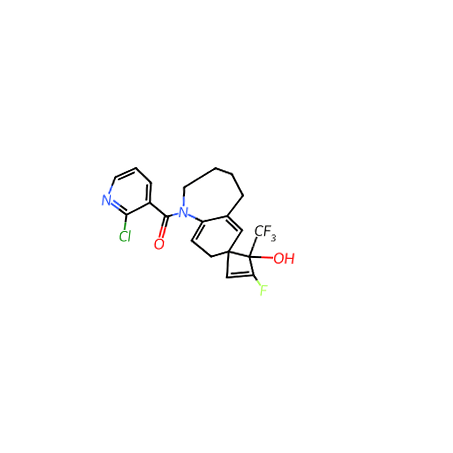 O=C(c1cccnc1Cl)N1CCCCC2=CC3(C=C(F)C3(O)C(F)(F)F)CC=C21